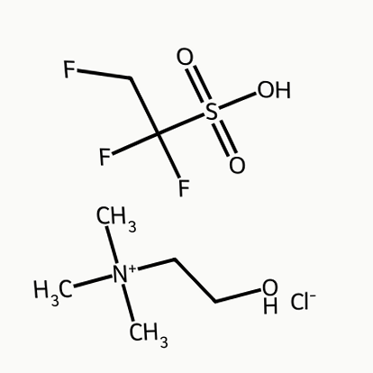 C[N+](C)(C)CCO.O=S(=O)(O)C(F)(F)CF.[Cl-]